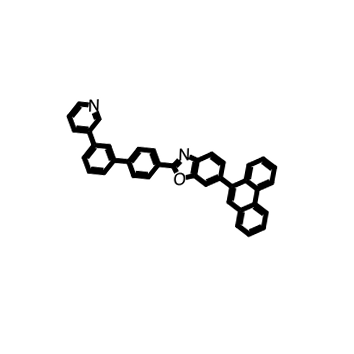 c1cncc(-c2cccc(-c3ccc(-c4nc5ccc(-c6cc7ccccc7c7ccccc67)cc5o4)cc3)c2)c1